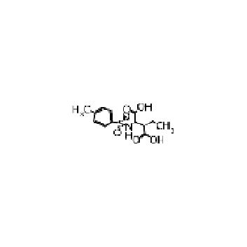 CC[C@@H](C(=O)O)[C@H](NS(=O)(=O)c1ccc(C)cc1)C(=O)O